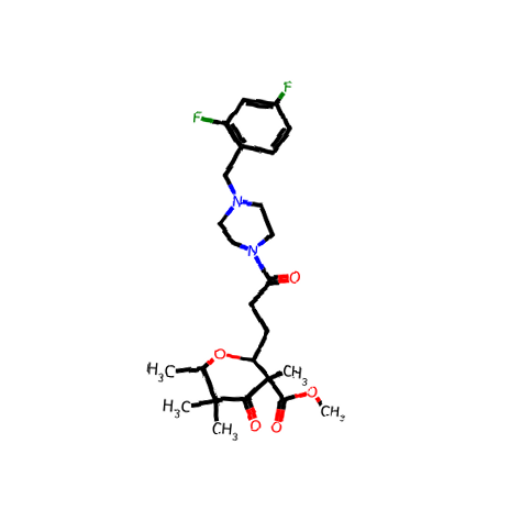 COC(=O)C1(C)C(=O)C(C)(C)C(C)OC1CCC(=O)N1CCN(Cc2ccc(F)cc2F)CC1